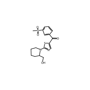 CS(=O)(=O)c1cccc(C(=O)c2cnc(N3CCCCC3CO)s2)c1